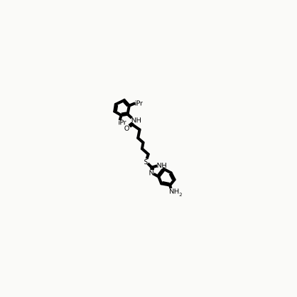 CC(C)c1cccc(C(C)C)c1NC(=O)CCCCCSc1nc2cc(N)ccc2[nH]1